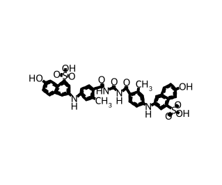 Cc1cc(Nc2cc(S(=O)(=O)O)c3cc(O)ccc3c2)ccc1C(=O)NC(=O)NC(=O)c1ccc(Nc2cc(S(=O)(=O)O)c3cc(O)ccc3c2)cc1C